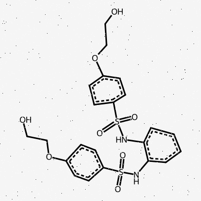 O=S(=O)(Nc1ccccc1NS(=O)(=O)c1ccc(OCCO)cc1)c1ccc(OCCO)cc1